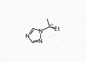 CC[C@H](C)n1cncn1